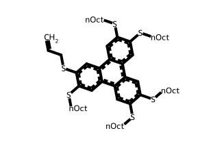 C=CCSc1cc2c(cc1SCCCCCCCC)c1cc(SCCCCCCCC)c(SCCCCCCCC)cc1c1cc(SCCCCCCCC)c(SCCCCCCCC)cc21